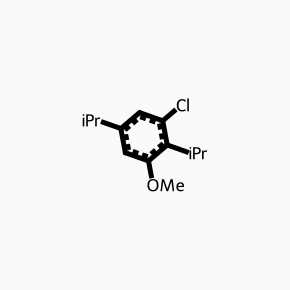 COc1cc(C(C)C)cc(Cl)c1C(C)C